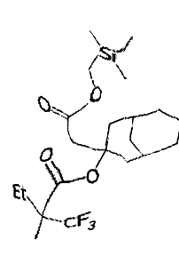 CCC(C)(C(=O)OC1(CC(=O)OC[Si](C)(C)C)CC2CCCC(C2)C1)C(F)(F)F